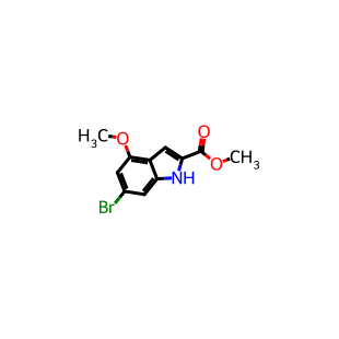 COC(=O)c1cc2c(OC)cc(Br)cc2[nH]1